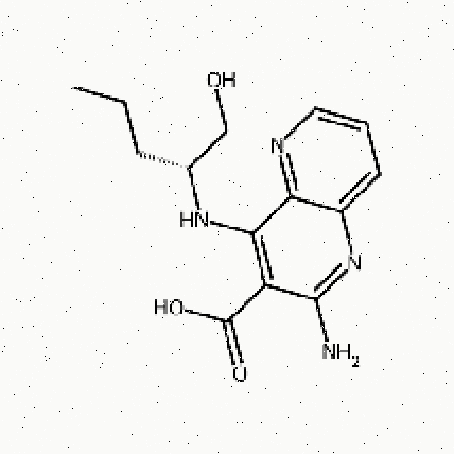 CCC[C@H](CO)Nc1c(C(=O)O)c(N)nc2cccnc12